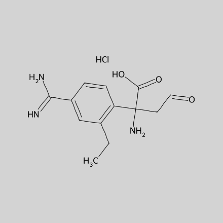 CCc1cc(C(=N)N)ccc1C(N)(CC=O)C(=O)O.Cl